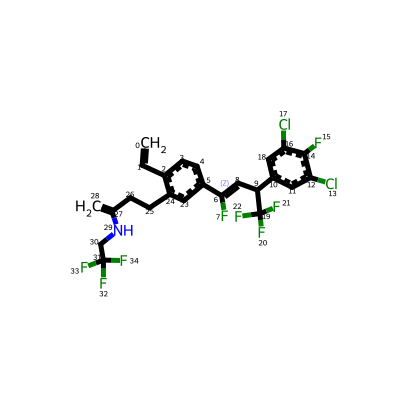 C=Cc1ccc(/C(F)=C/C(c2cc(Cl)c(F)c(Cl)c2)C(F)(F)F)cc1CCC(=C)NCC(F)(F)F